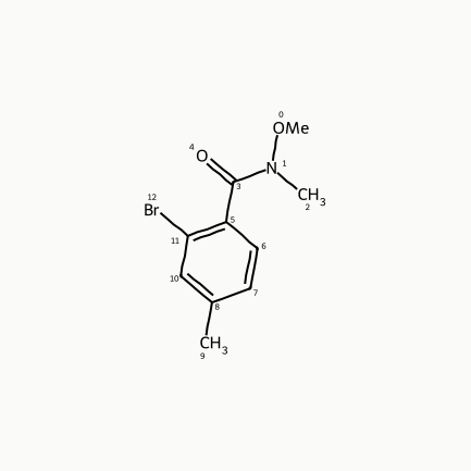 CON(C)C(=O)c1ccc(C)cc1Br